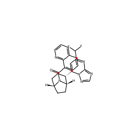 O=C(c1cccc2cccnc12)N1[C@H]2CC[C@H](c3cc(C(F)F)nc4ncnn34)[C@@H]1CC2